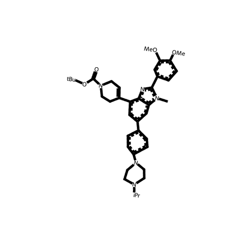 COc1ccc(-c2nc3c(C4=CCN(C(=O)OC(C)(C)C)CC4)cc(-c4ccc(N5CCN(C(C)C)CC5)cc4)cc3n2C)cc1OC